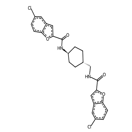 O=C(NC[C@H]1CC[C@H](NC(=O)c2cc3cc(Cl)ccc3o2)CC1)c1cc2cc(Cl)ccc2o1